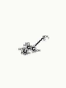 COC(=O)CCCCCCCCO[C@H]1O[C@H](CO)[C@@H](O)[C@H](O[C@@H]2O[C@H](CO)[C@@H](O)[C@H](O)[C@H]2O[C@@H]2O[C@H](CO)[C@@H](OC)[C@H](O)[C@H]2O)[C@H]1O